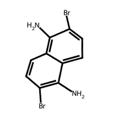 Nc1c(Br)ccc2c(N)c(Br)ccc12